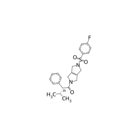 CC(C)[C@@H](C(=O)N1CC2=C(C1)CN(S(=O)(=O)c1ccc(F)cc1)C2)c1ccccc1